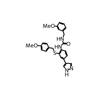 COc1ccc(CSc2cc(-c3cn[nH]c3)ccc2NC(=O)NCc2cccc(OC)c2)cc1